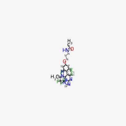 CC(=O)NCCCOc1cc(F)c(-c2c(Cl)nc3ncnn3c2NC(C)C(F)(F)F)c(F)c1